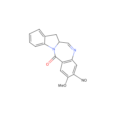 COc1cc2c(cc1N=O)N=CC1Cc3ccccc3N1C2=O